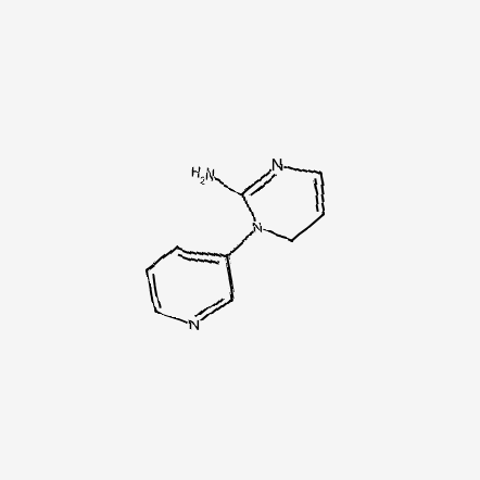 NC1=NC=CCN1c1cccnc1